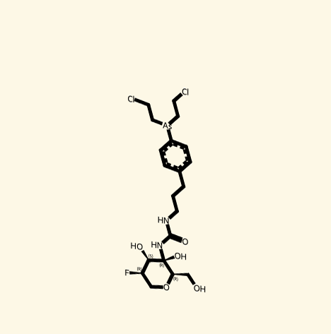 O=C(NCCCc1ccc([As](CCCl)CCCl)cc1)N[C@@]1(O)[C@H](O)[C@H](F)CO[C@@H]1CO